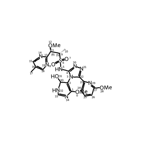 COC1=C(n2c(NS(=O)(=O)[C@@H](C)[C@H](OC)c3ncc(C)cn3)nnc2-c2cccc(OC)n2)C(O)NC=N1